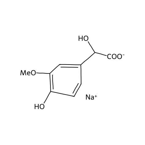 COc1cc(C(O)C(=O)[O-])ccc1O.[Na+]